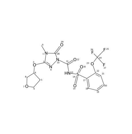 Cn1c(OC2CCOC2)nn(C(=O)NS(=O)(=O)c2ccccc2OC(F)(F)F)c1=O